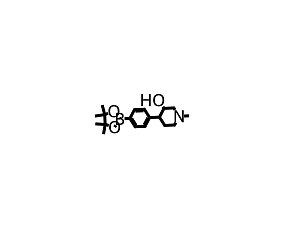 CN1CCC(c2ccc(B3OC(C)(C)C(C)(C)O3)cc2)C(O)C1